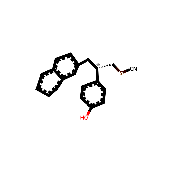 N#CSC[C@@H](Cc1ccc2ccccc2c1)c1ccc(O)cc1